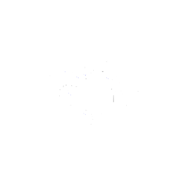 C=C1COc2ccc(F)cc2C(=O)N2CCCCC2c2cc3nc(CC)cc(n3n2)N(C)CCN1